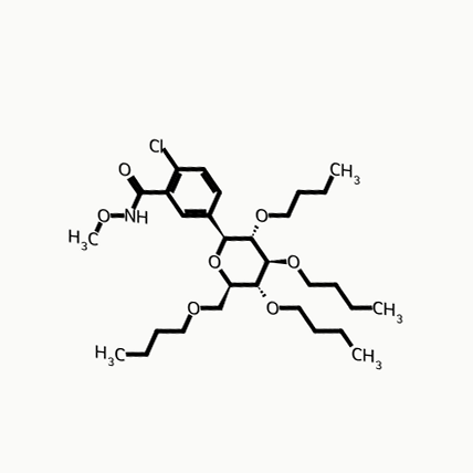 CCCCOC[C@H]1O[C@@H](c2ccc(Cl)c(C(=O)NOC)c2)[C@H](OCCCC)[C@@H](OCCCC)[C@@H]1OCCCC